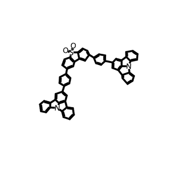 O=S1(=O)c2ccc(-c3ccc(-c4cc5c6ccccc6n6c7ccccc7c(c4)c56)cc3)cc2-c2cc(-c3ccc(-c4cc5c6ccccc6n6c7ccccc7c(c4)c56)cc3)ccc21